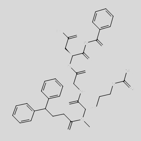 CN(C(=O)CCC(c1ccccc1)c1ccccc1)[C@@H](CCCNC(=N)N)C(=O)NCC(=O)N[C@@H](CC(=O)O)C(=O)NC(=O)c1ccccc1